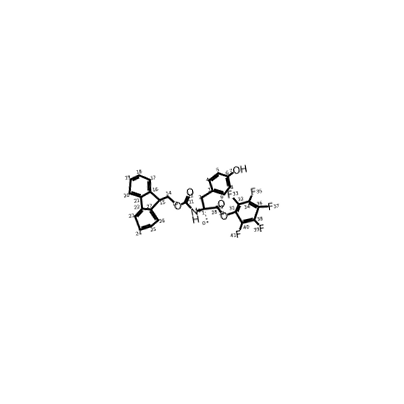 C[C@@](Cc1ccc(O)cc1)(NC(=O)OCC1c2ccccc2-c2ccccc21)C(=O)Oc1c(F)c(F)c(F)c(F)c1F